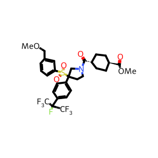 COCc1cccc(S(=O)(=O)C2(c3ccc(C(F)(C(F)(F)F)C(F)(F)F)cc3)CCN(C(=O)[C@H]3CC[C@H](C(=O)OC)CC3)C2)c1